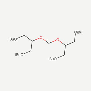 CC(C)COCC(COCC(C)C)OCOC(COCC(C)C)COCC(C)C